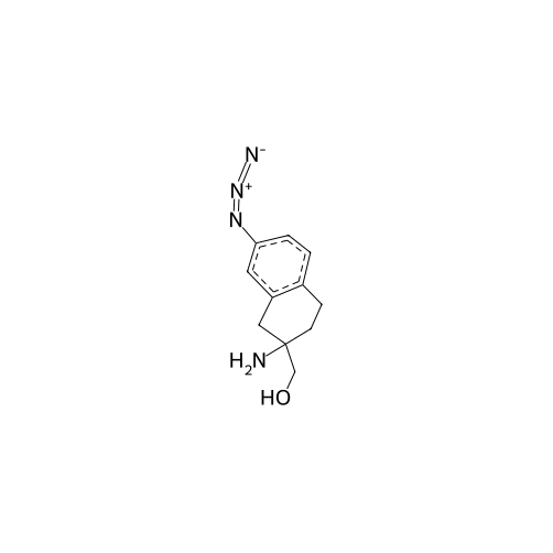 [N-]=[N+]=Nc1ccc2c(c1)CC(N)(CO)CC2